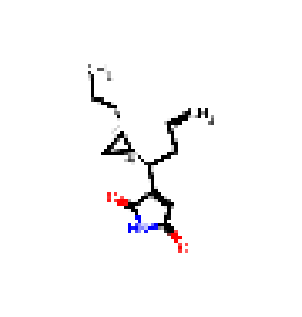 C=CCC(C1=CC(=O)NC1=O)[C@@H]1C[C@@H]1CCC